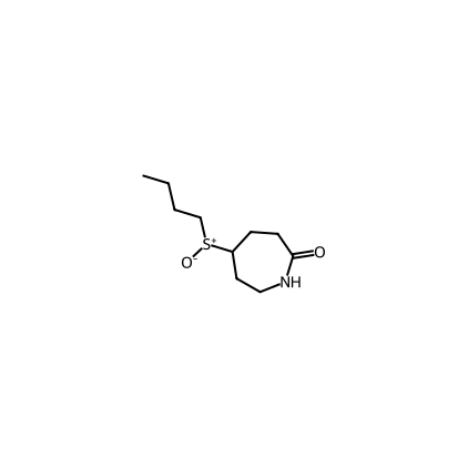 CCCC[S+]([O-])C1CCNC(=O)CC1